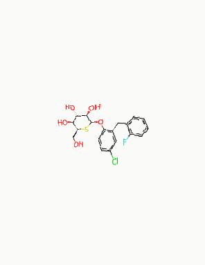 OC[C@@H]1S[C@H](Oc2ccc(Cl)cc2Cc2ccccc2F)[C@H](O)[C@@H](O)[C@@H]1O